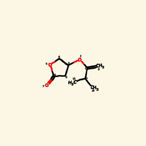 C=C(OC1COC(=O)C1)C(C)C